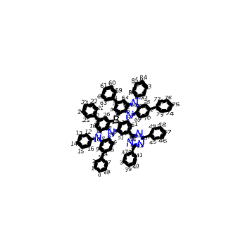 c1ccc(-c2ccc3c(c2)N(c2ccccc2)c2cc(-c4ccccc4)cc4c2N3c2cc(-c3nc(-c5ccccc5)nc(-c5ccccc5)n3)cc3c2B4c2cc(-c4ccccc4)cc4c2N3c2ccc(-c3ccccc3)cc2N4c2ccccc2)cc1